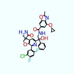 Cc1nc2c(OC3CC3)cc(C(=O)NC[C@@](O)(c3ccccc3)c3cc4c(c(-c5cc(Cl)c(F)cc5F)n3)OC[C@]4(C)C(N)=O)cc2o1